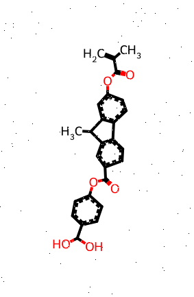 C=C(C)C(=O)Oc1ccc2c(c1)C(C)c1cc(C(=O)Oc3ccc(C(O)O)cc3)ccc1-2